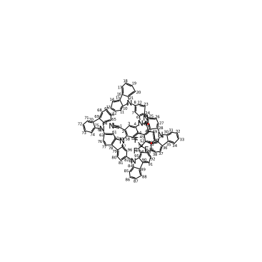 N#Cc1cc(-n2c3cc(-n4c5ccccc5c5ccccc54)ccc3c3ccc(-n4c5ccccc5c5ccccc54)cc32)c(-c2c(C#N)cccc2C(F)(F)F)cc1-n1c2cc(-n3c4ccccc4c4ccccc43)ccc2c2ccc(-n3c4ccccc4c4ccccc43)cc21